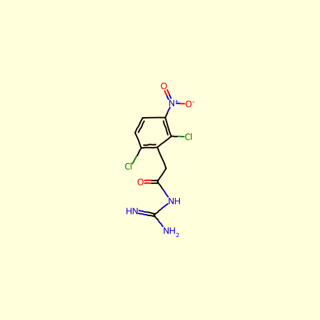 N=C(N)NC(=O)Cc1c(Cl)ccc([N+](=O)[O-])c1Cl